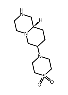 O=S1(=O)CCN(C2CC[C@H]3CNCCN3C2)CC1